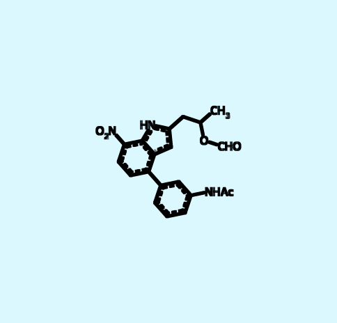 CC(=O)Nc1cccc(-c2ccc([N+](=O)[O-])c3[nH]c(CC(C)OC=O)cc23)c1